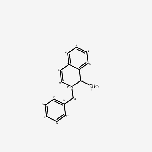 O=CC1c2ccccc2C=CN1Cc1ccccc1